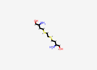 NC(CO)CCSCCSCCC(N)CO